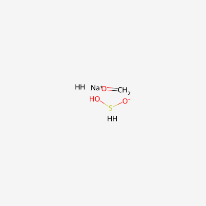 C=O.[HH].[HH].[Na+].[O-]SO